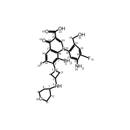 Bc1c(N2CC(NC3CCOCC3)C2)c(F)cc2c(=O)c(C(=O)O)cn(-c3cc(N)c(F)cc3CO)c12